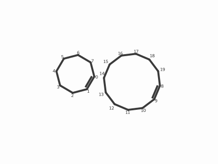 C1=CCCCCCC1.C1=CCCCCCCCCCC1